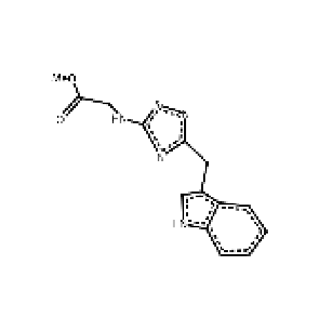 COC(=O)CNc1nc(Cc2c[nH]c3ccccc23)ns1